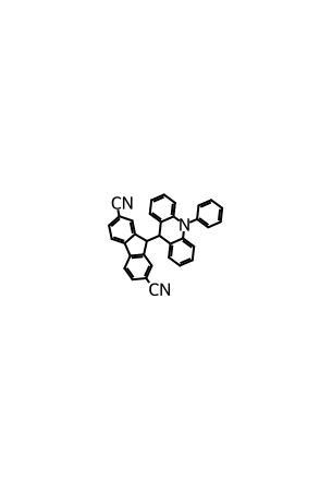 N#Cc1ccc2c(c1)C(C1c3ccccc3N(c3ccccc3)c3ccccc31)c1cc(C#N)ccc1-2